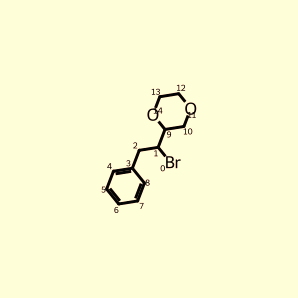 BrC(Cc1ccccc1)C1COCCO1